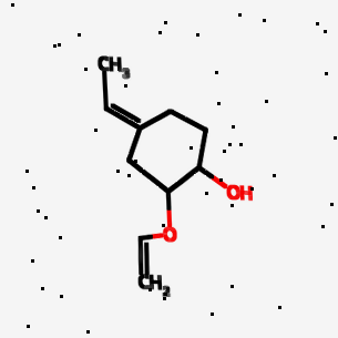 C=COC1CC(=CC)CCC1O